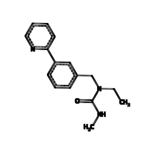 CCN(Cc1cccc(-c2ccccn2)c1)C(=O)NC